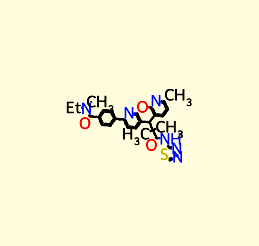 CCN(C)C(=O)c1ccc(-c2ccc3c(n2)Oc2nc(C)ccc2C3C(C)(C)C(=O)Nc2nncs2)cc1